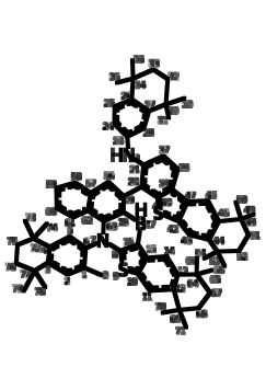 Cc1cc2c(cc1N1c3sc4cc5c(cc4c3Bc3c(-c4c(Nc6ccc7c(c6)C(C)(C)CCC7(C)C)ccc6c4sc4cc7c(cc46)C(C)(C)CCC7(C)C)cc4ccccc4c31)C(C)(C)CCC5(C)C)C(C)(C)CCC2(C)C